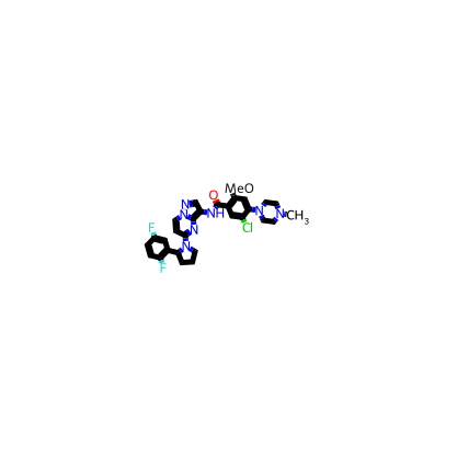 COc1cc(N2CCN(C)CC2)c(Cl)cc1C(=O)Nc1cnn2ccc(N3CCCC3c3cc(F)ccc3F)nc12